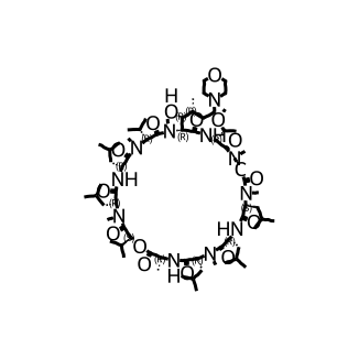 COC(C)[C@H]1NC(=O)[C@@H]([C@H](O)[C@H](C)CCN2CCOCC2)N(C)C(=O)[C@@H](C(C)C)N(C)C(=O)[C@@H](CC(C)C)NC(=O)[C@@H](CC(C)C)N(C)C(=O)[C@H](C(C)C)OC(=O)[C@@H](C)NC(=O)[C@@H](CC(C)C)N(C)C(=O)[C@@H](CC(C)C)NC(=O)[C@H](CC(C)C)N(C)C(=O)CN(C)C1=O